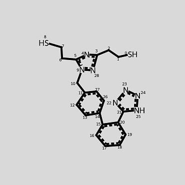 SCCc1nc(CCS)n(Cc2ccc(-c3ccccc3-c3nnn[nH]3)cc2)n1